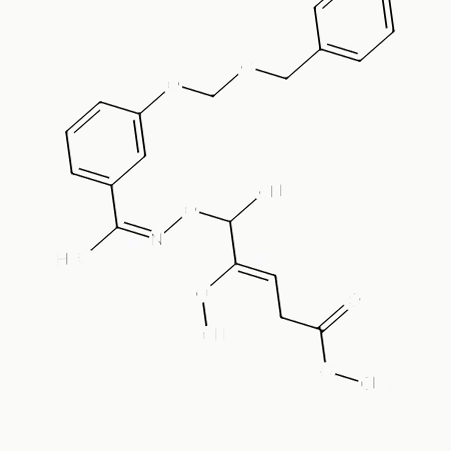 COC(=O)C/C=C(\OC)C(C)O/N=C(/C)c1cccc(OCOCc2ccccc2)c1